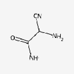 N#CC(N)C([NH])=O